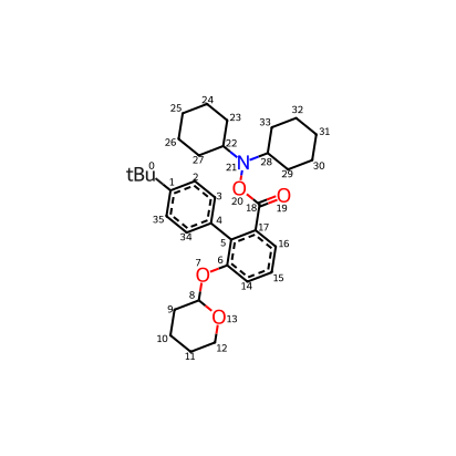 CC(C)(C)c1ccc(-c2c(OC3CCCCO3)cccc2C(=O)ON(C2CCCCC2)C2CCCCC2)cc1